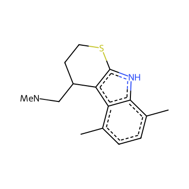 CNCC1CCSc2[nH]c3c(C)ccc(C)c3c21